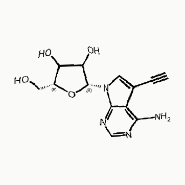 C#Cc1cn([C@@H]2O[C@H](CO)C(O)C2O)c2ncnc(N)c12